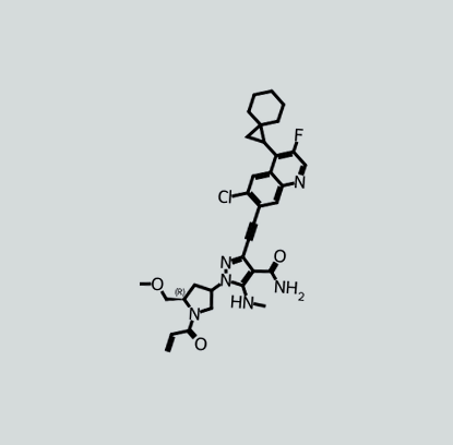 C=CC(=O)N1CC(n2nc(C#Cc3cc4ncc(F)c(C5CC56CCCCC6)c4cc3Cl)c(C(N)=O)c2NC)C[C@@H]1COC